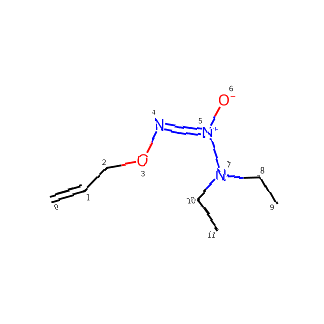 C=CCO/N=[N+](/[O-])N(CC)CC